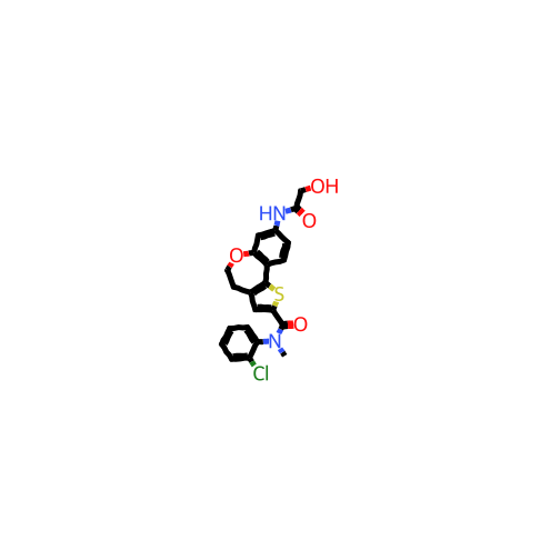 CN(C(=O)c1cc2c(s1)-c1ccc(NC(=O)CO)cc1OCC2)c1ccccc1Cl